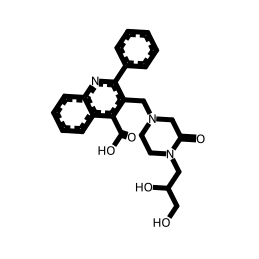 O=C(O)c1c(CN2CCN(CC(O)CO)C(=O)C2)c(-c2ccccc2)nc2ccccc12